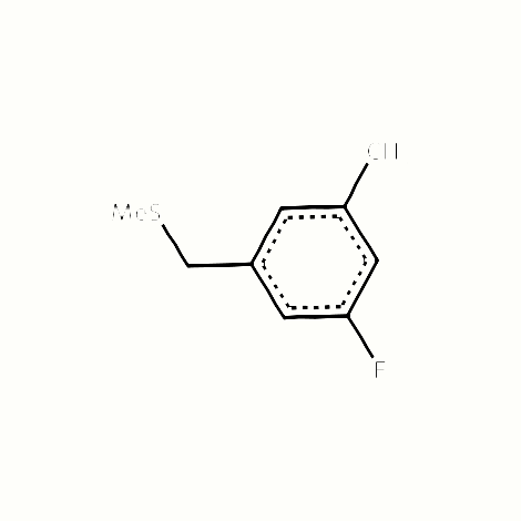 CSCc1cc(C)cc(F)c1